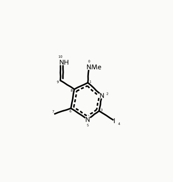 CNc1nc(I)nc(C)c1C=N